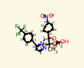 CC(C)(C)[C@](Cn1nccc1-c1ccc(C(F)(F)F)cc1)(OC(=O)O)c1ccc([N+](=O)[O-])cc1